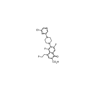 O=C(O)c1cn(CCF)c2c(F)c(N3CCN(c4cncc(Cl)n4)CC3)c(F)cc2c1=O